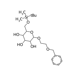 CC(C)(C)[Si](C)(C)OCC1OC(OCCOCc2ccccc2)C(O)C(O)C1O